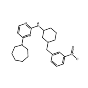 O=[N+]([O-])c1cccc(CN2CCCC(Nc3nccc(N4CCCCCC4)n3)C2)c1